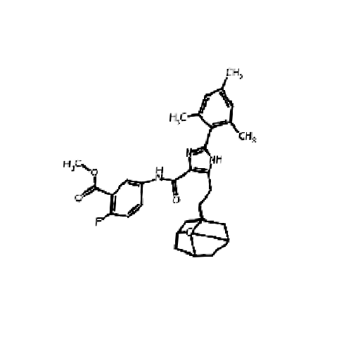 COC(=O)c1cc(NC(=O)c2nc(-c3c(C)cc(C)cc3C)[nH]c2CCC23CC4CC(CC(C4)C2)C3)ccc1F